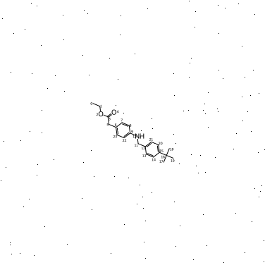 CCOC(=O)Cc1ccc(NCc2ccc(C(C)(C)C)cc2)cc1